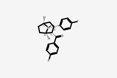 CN1[C@H]2CC[C@@H]1[C@@H](C(=O)c1ccc(F)cc1)[C@@H](c1ccc(F)cc1)C2